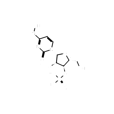 CNc1ccn([C@@H]2O[C@H](CO)[C@@H](OP(=O)(O)O)[C@H]2O)c(=O)n1